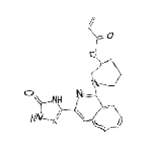 C=CC(=O)OC1CCCN(c2nc(-c3n[nH]c(=O)[nH]3)cc3ccccc23)C1